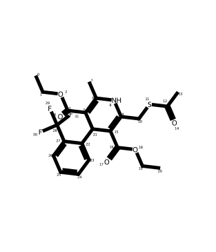 CCOC(=O)C1=C(C)NC(CSC(C)=O)=C(C(=O)OCC)C1c1ccccc1C(F)(F)F